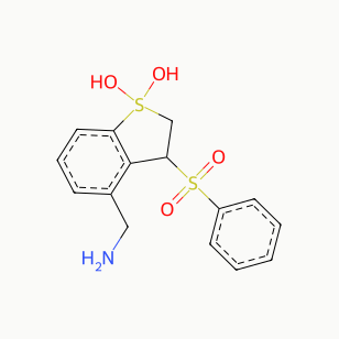 NCc1cccc2c1C(S(=O)(=O)c1ccccc1)CS2(O)O